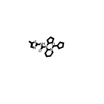 Cc1cnc(NC(=O)N(C2CCCC2)C2CCCCN2C(=O)C2CCCC2)s1